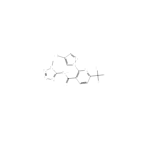 Cn1nnnc1NC(=O)c1ccc(C(F)(F)F)nc1-n1cc(Cl)cn1